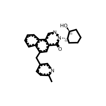 Cc1ccc(Cc2cc3c(=O)n([C@H]4CCCC[C@@H]4O)ncc3c3ccccc23)cn1